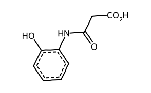 O=C(O)CC(=O)Nc1ccccc1O